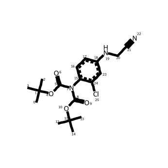 CC(C)(C)OC(=O)N(C(=O)OC(C)(C)C)c1ccc(NCC#N)cc1Cl